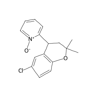 CC1(C)CC(c2cccc[n+]2[O-])c2cc(Cl)ccc2O1